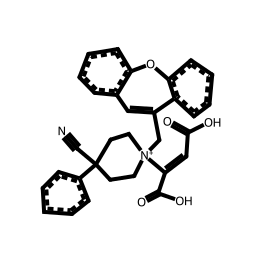 N#CC1(c2ccccc2)CC[N+](CC2=Cc3ccccc3Oc3ccccc32)(/C(=C\C(=O)O)C(=O)O)CC1